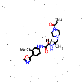 COc1cc(NC(=O)C(=O)NC(C)(C)CN2CCN(C(=O)CC(C)(C)C)CC2)ccc1-c1cnco1